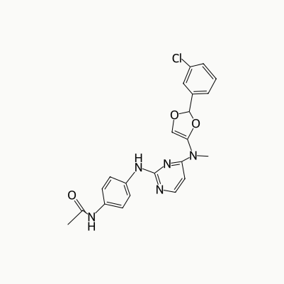 CC(=O)Nc1ccc(Nc2nccc(N(C)C3=COC(c4cccc(Cl)c4)O3)n2)cc1